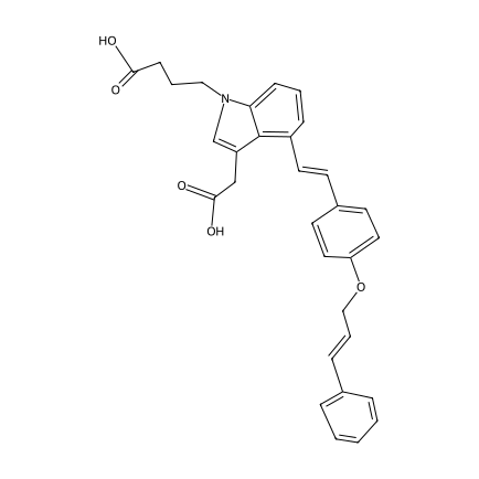 O=C(O)CCCn1cc(CC(=O)O)c2c(C=Cc3ccc(OC/C=C/c4ccccc4)cc3)cccc21